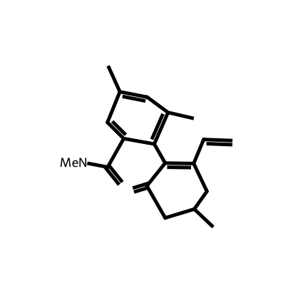 C=CC1=C(c2c(C)cc(C)cc2C(=C)NC)C(=C)CC(C)C1